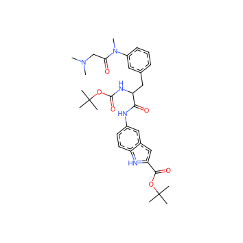 CN(C)CC(=O)N(C)c1cccc(CC(NC(=O)OC(C)(C)C)C(=O)Nc2ccc3[nH]c(C(=O)OC(C)(C)C)cc3c2)c1